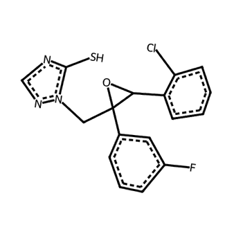 Fc1cccc(C2(Cn3ncnc3S)OC2c2ccccc2Cl)c1